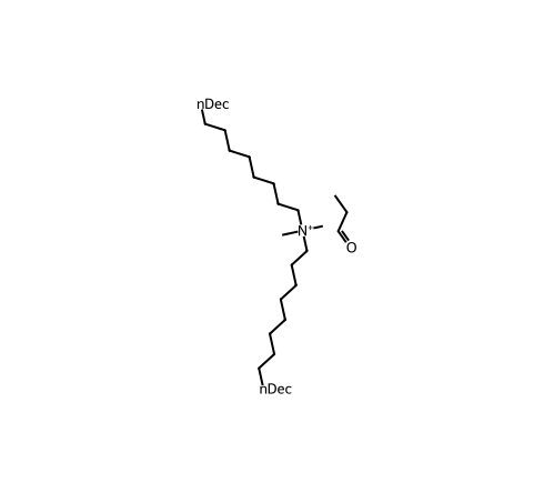 CCC=O.CCCCCCCCCCCCCCCCCC[N+](C)(C)CCCCCCCCCCCCCCCCCC